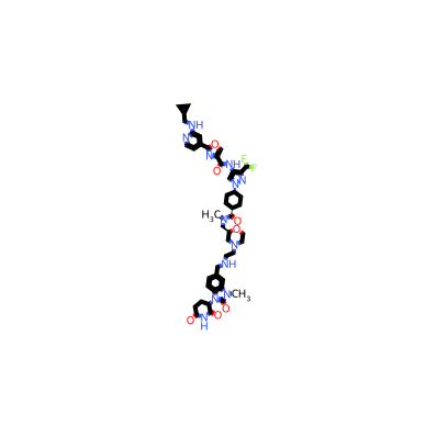 CN(C[C@@H]1CN(CCNCc2ccc3c(c2)n(C)c(=O)n3C2CCC(=O)NC2=O)CCO1)C(=O)[C@H]1CC[C@H](n2cc(NC(=O)c3coc(-c4ccnc(NCC5CC5)c4)n3)c(C(F)F)n2)CC1